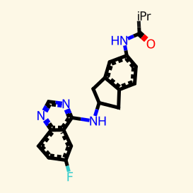 CC(C)C(=O)Nc1ccc2c(c1)CC(Nc1ncnc3ccc(F)cc13)C2